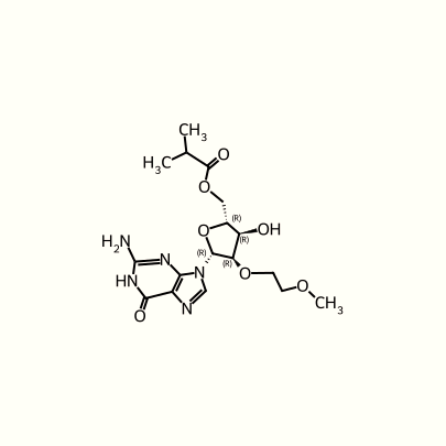 COCCO[C@@H]1[C@H](O)[C@@H](COC(=O)C(C)C)O[C@H]1n1cnc2c(=O)[nH]c(N)nc21